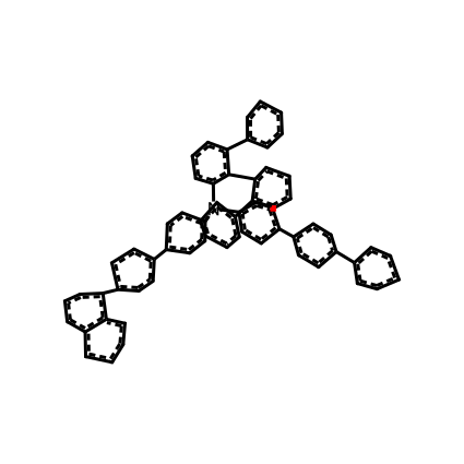 c1ccc(-c2ccc(-c3ccc(N(c4ccc(-c5ccc(-c6cccc7ccccc67)cc5)cc4)c4cccc(-c5ccccc5)c4-c4ccccc4-c4ccccc4)cc3)cc2)cc1